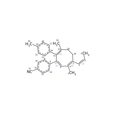 C\C=C/C1=C(C)/C=C(c2ccc(C#N)cc2)\C(c2ccc(C)cc2)=C(\C)CC1